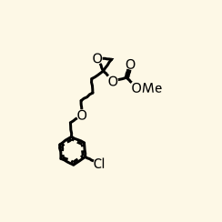 COC(=O)OC1(CCCOCc2cccc(Cl)c2)CO1